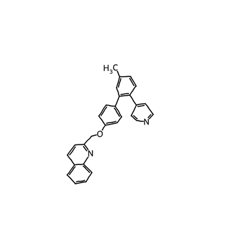 Cc1ccc(-c2ccncc2)c(-c2ccc(OCc3ccc4ccccc4n3)cc2)c1